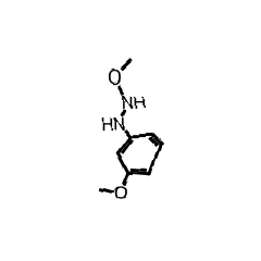 CONNc1cccc(OC)c1